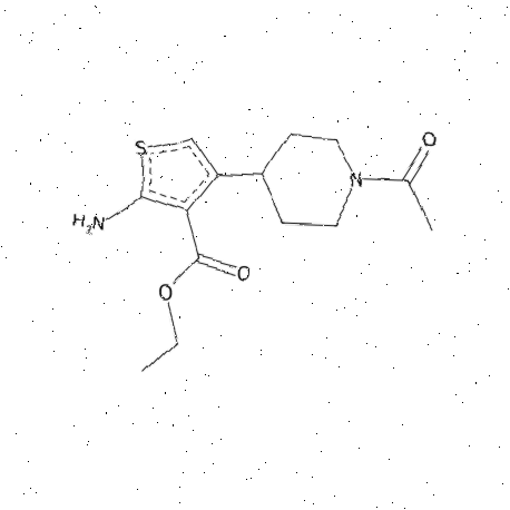 CCOC(=O)c1c(C2CCN(C(C)=O)CC2)csc1N